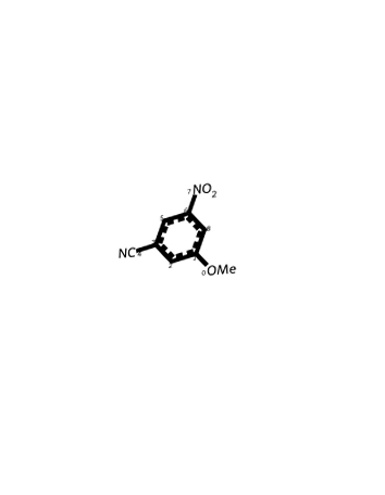 [CH2]Oc1cc(C#N)cc([N+](=O)[O-])c1